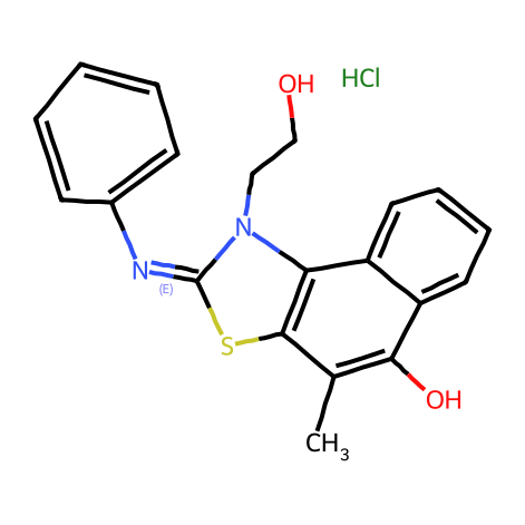 Cc1c(O)c2ccccc2c2c1s/c(=N/c1ccccc1)n2CCO.Cl